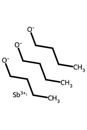 CCCC[O-].CCCC[O-].CCCC[O-].[Sb+3]